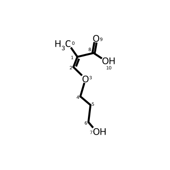 CC(=COCCCO)C(=O)O